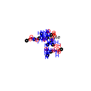 COc1cc(S(C)(=O)=O)ccc1-n1c(-c2nonc2N)nc2cnccc21.Nc1nonc1-c1nc2cnccc2n1-c1ccc(O)cc1.Nc1nonc1-c1nc2cnccc2n1-c1ccc(OC2CCN(C(=O)OCc3ccccc3)CC2)cc1.Nc1nonc1-c1nc2cnccc2n1-c1ccc(OCCNS(=O)(=O)c2ccccc2)cc1